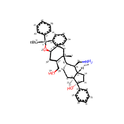 CC(C)(C)[Si](O[C@H]1CC[C@](C)([C@H]2CC[C@@]3(C)[C@@H](CC[C@@]3(O)c3ccccc3)[C@@H]2CN)[C@@H](CO)C1)(c1ccccc1)c1ccccc1